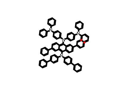 c1ccc(-c2ccc(N(c3ccc(-c4ccccc4)cc3)c3c4ccc(-c5ccccc5)cc4c(N(c4ccc(N(c5ccccc5)c5ccccc5)cc4)c4ccc(N(c5ccccc5)c5ccccc5)cc4)c4ccc(-c5ccccc5)cc34)cc2)cc1